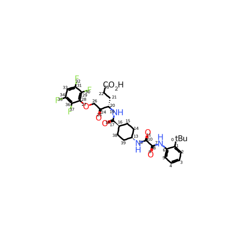 CC(C)(C)c1ccccc1NC(=O)C(=O)N[C@H]1CC[C@H](C(=O)N[C@@H](CCC(=O)O)C(=O)COc2c(F)c(F)cc(F)c2F)CC1